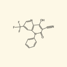 N#Cc1c(O)c2ncc(C(F)(F)F)cc2n(-c2ccccc2)c1=O